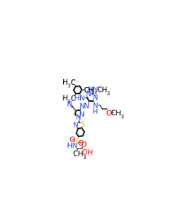 CNc1nc(NCCCOC)c(N=Nc2nn(-c3nc4cc(S(=O)(=O)NC(C)C(=O)O)ccc4s3)cc2C#N)c(Nc2c(C)cc(C)cc2C)n1